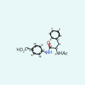 CC(=O)NC(Cc1ccccc1)C(=O)Nc1ccc(C(=O)O)cc1